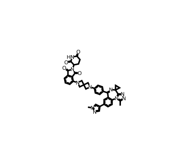 Cc1nnc2n1-c1ccc(-c3cnn(C)c3)cc1C(c1ccc(N3CC4(C3)CN(c3cccc5c3C(=O)N(C3CCC(=O)NC3=O)C5=O)C4)cc1)=NC21CC1